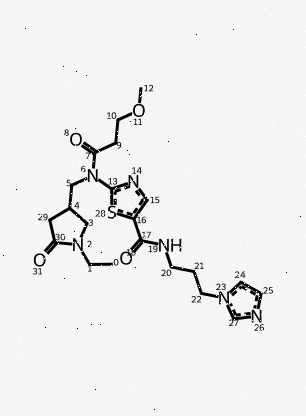 CCN1CC(CN(C(=O)CCOC)c2ncc(C(=O)NCCCn3ccnc3)s2)CC1=O